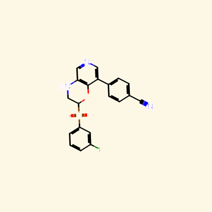 N#Cc1ccc(-c2cncc3c2OC(S(=O)(=O)c2cccc(F)c2)CN3)cc1